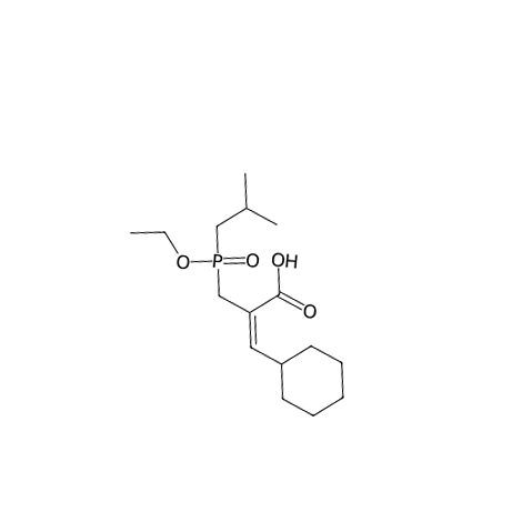 CCOP(=O)(C/C(=C/C1CCCCC1)C(=O)O)CC(C)C